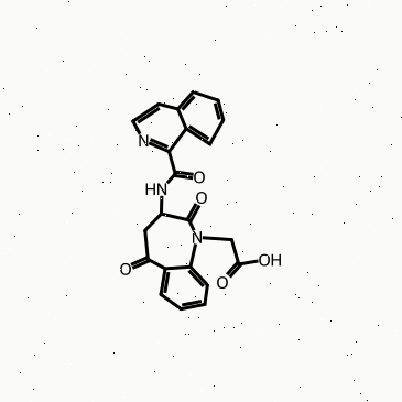 O=C(O)CN1C(=O)C(NC(=O)c2nccc3ccccc23)CC(=O)c2ccccc21